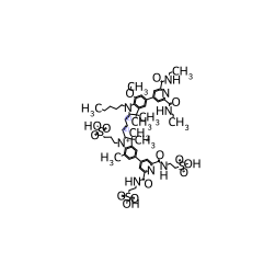 CCCCCN1/C(=C/C=C/C2=[N+](CCCS(=O)(=O)O)c3c(C)cc(-c4cc(C(=O)NCCS(=O)(=O)O)nc(C(=O)NCCS(=O)(=O)O)c4)cc3C2(C)C)C(C)(C)c2cc(-c3cc(C(=O)NCC)nc(C(=O)NCC)c3)cc(OC)c21